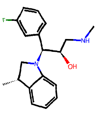 CNC[C@@H](O)[C@H](c1cccc(F)c1)N1C[C@@H](C)c2ccccc21